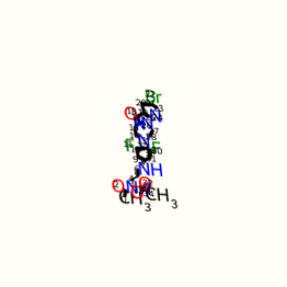 CC(=O)NC[C@@H](CNc1cc(F)c(N2CCn3c(=O)c4cc(Br)cnc4n3CC2)c(F)c1)OC(C)=O